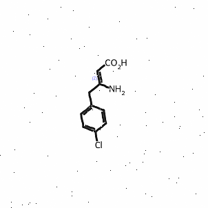 N/C(=C\C(=O)O)Cc1ccc(Cl)cc1